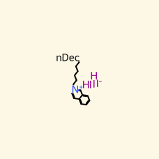 CCCCCCCCCCCCCCCC[n+]1ccc2ccccc2c1.I.I.[I-]